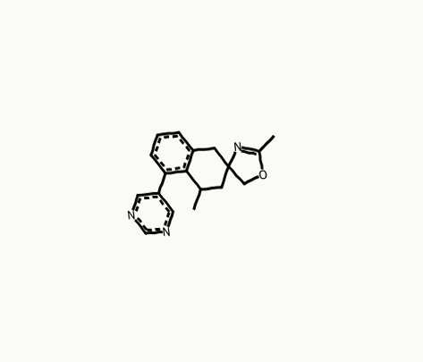 CC1=NC2(CO1)Cc1cccc(-c3cncnc3)c1C(C)C2